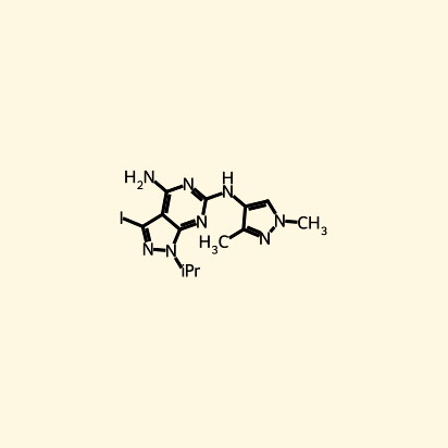 Cc1nn(C)cc1Nc1nc(N)c2c(I)nn(C(C)C)c2n1